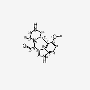 COc1ccc2[nH][c]c(C(C=O)N3CCNCC3C)c2c1C